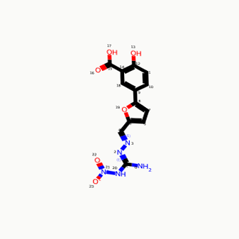 N/C(=N\N=C\c1ccc(-c2ccc(O)c(C(=O)O)c2)o1)N[N+](=O)[O-]